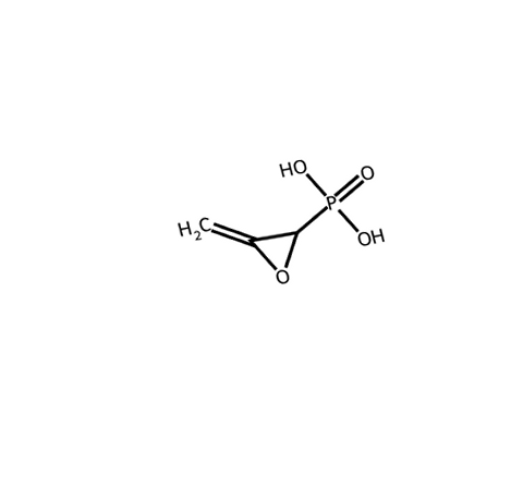 C=C1OC1P(=O)(O)O